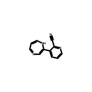 N#Cc1ncccc1C1=CN=CC=CN1